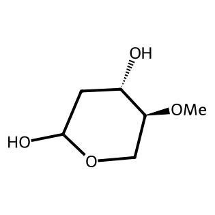 CO[C@H]1COC(O)C[C@@H]1O